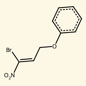 O=[N+]([O-])C(Br)=CCOc1ccccc1